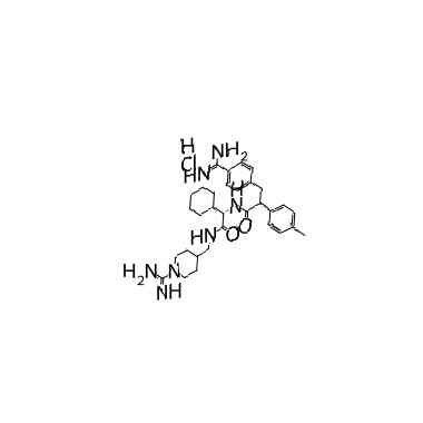 Cc1ccc(C(Cc2ccc(C(=N)N)cc2)C(=O)N[C@H](C(=O)NCC2CCN(C(=N)N)CC2)C2CCCCC2)cc1.Cl